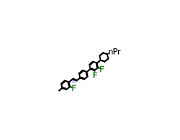 CCCC1CCC(c2ccc(-c3ccc(/C=C/c4ccc(C)cc4F)cc3)c(F)c2F)CC1